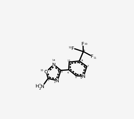 Nc1nc(-c2cncc(C(F)(F)F)c2)no1